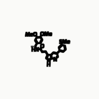 COc1ccc([C@@H](C)NC(=O)/C=C/c2c[nH]c3ncc(-c4cccc(SC)c4)cc23)cc1OC